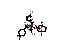 Cc1nnc(C(C)C)n1[C@@H]1C[C@H]2CC[C@@H](C1)N2CC[C@H](NC(=O)C1CCC(F)(F)CC1)c1ccc(Cl)s1